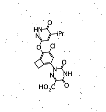 CC(C)c1cc(Oc2c(Cl)cc(-n3nc(C(=O)O)c(=O)[nH]c3=O)c3c2CC3)n[nH]c1=O